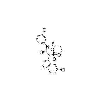 C=CN(C(=O)C(c1csc2ccc(Cl)cc12)P1(=O)OCCCO1)c1cccc(Cl)c1